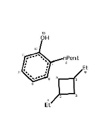 CCC1CC(CC)C1.CCCCCc1ccccc1O